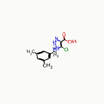 Cc1cc(C)cc(C)c1.O=C(O)c1nn[nH]c1Cl